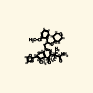 COc1ccccc1[C@H](Cn1nc(C(C)(C)C(N)=O)c(=O)c2c(C)c(-c3ncco3)sc21)OC1CCOCC1